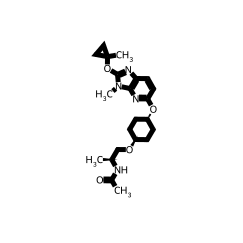 CC(=O)N[C@@H](C)CO[C@H]1CC[C@H](Oc2ccc3nc(OC4(C)CC4)n(C)c3n2)CC1